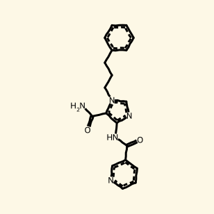 NC(=O)c1c(NC(=O)c2cccnc2)ncn1CCCc1ccccc1